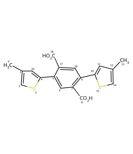 Cc1csc(-c2cc(C(=O)O)c(-c3cc(C)cs3)cc2C(=O)O)c1